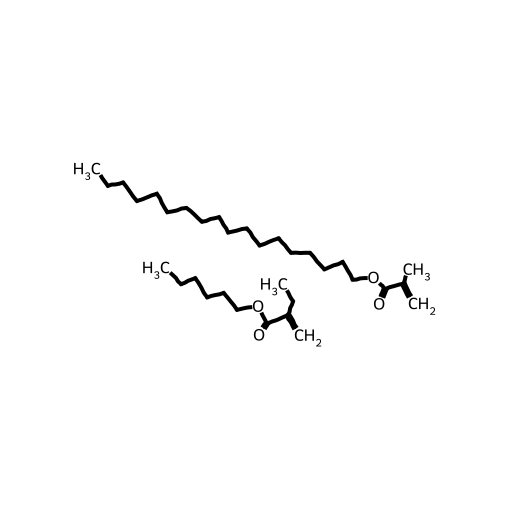 C=C(C)C(=O)OCCCCCCCCCCCCCCCCCC.C=C(CC)C(=O)OCCCCCC